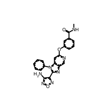 CNC(=O)c1cccc(Oc2cc3c(cn2)nc(-c2nonc2N)n3-c2ccccc2)c1